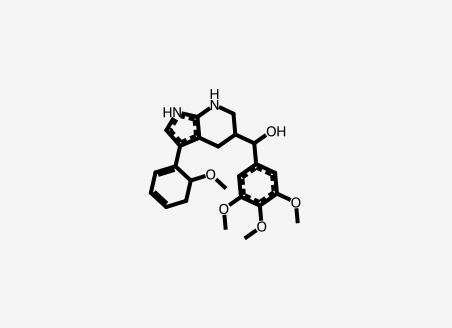 COc1cc(C(O)C2CNc3[nH]cc(C4=CC=CCC4OC)c3C2)cc(OC)c1OC